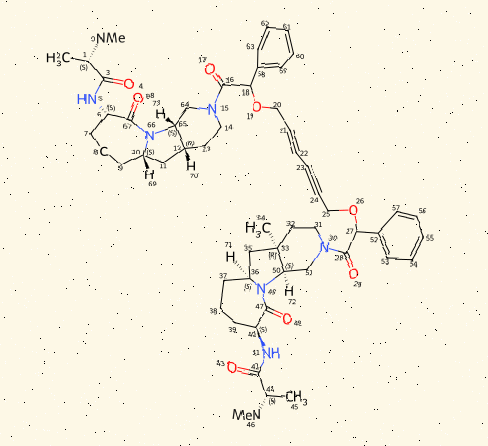 CN[C@@H](C)C(=O)N[C@H]1CCC[C@H]2C[C@H]3CCN(C(=O)C(OCC#CC#CCOC(C(=O)N4CC[C@]5(C)C[C@@H]6CCC[C@H](NC(=O)[C@H](C)NC)C(=O)N6[C@@H]5C4)c4ccccc4)c4ccccc4)C[C@H]3N2C1=O